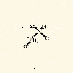 CC[N+](C)(CC)CC.C[O-]